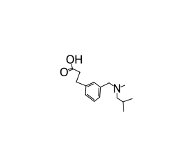 CC(C)CN(C)Cc1cccc(CCC(=O)O)c1